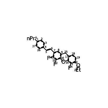 CCCc1ccc(/C=C/c2cc3c(c(F)c2F)Oc2c(ccc(OCC)c2F)C3)cc1